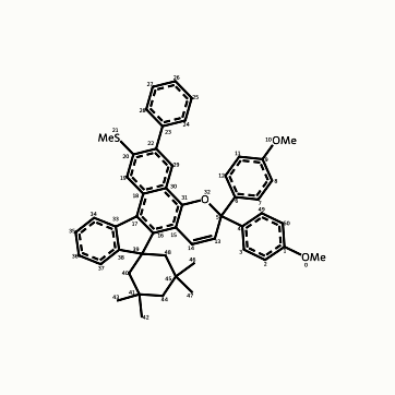 COc1ccc(C2(c3ccc(OC)cc3)C=Cc3c4c(c5cc(SC)c(-c6ccccc6)cc5c3O2)-c2ccccc2C42CC(C)(C)CC(C)(C)C2)cc1